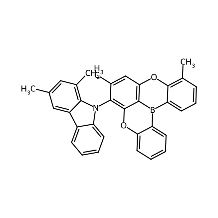 Cc1cc(C)c2c(c1)c1ccccc1n2-c1c(C)cc2c3c1Oc1ccccc1B3c1cccc(C)c1O2